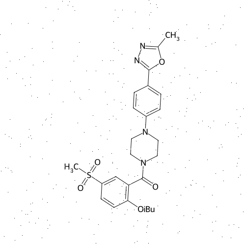 Cc1nnc(-c2ccc(N3CCN(C(=O)c4cc(S(C)(=O)=O)ccc4OCC(C)C)CC3)cc2)o1